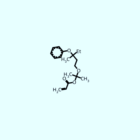 C=CC(=O)OC(C)(C)OCCC(C)(CC)Oc1ccccc1